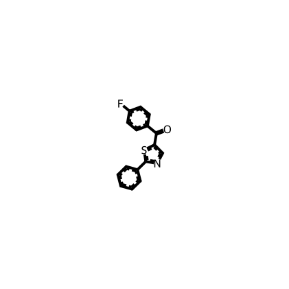 O=C(c1ccc(F)cc1)c1cnc(-c2ccccc2)s1